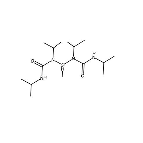 CC(C)NC(=O)N(C(C)C)[SiH](C)N(C(=O)NC(C)C)C(C)C